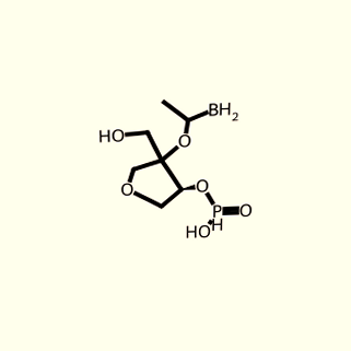 BC(C)OC1(CO)COC[C@@H]1O[PH](=O)O